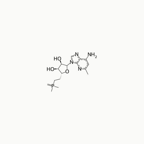 C=P(C)(C)CC[C@H]1OC(n2cnc3c(N)cc(C)nc32)[C@H](O)[C@@H]1O